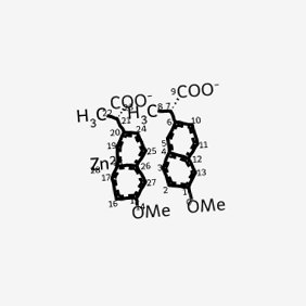 COc1ccc2cc([C@H](C)C(=O)[O-])ccc2c1.COc1ccc2cc([C@H](C)C(=O)[O-])ccc2c1.[Zn+2]